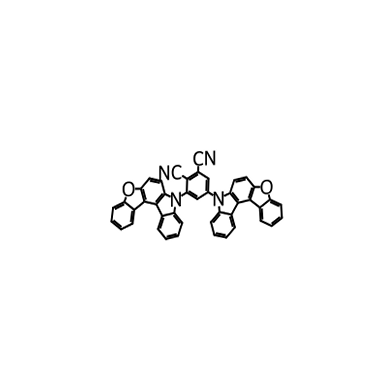 N#Cc1cc(-n2c3ccccc3c3c4c(ccc32)oc2ccccc24)cc(-n2c3ccccc3c3c4c(ccc32)oc2ccccc24)c1C#N